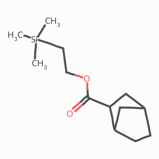 C[Si](C)(C)CCOC(=O)C1CC2CCC1C2